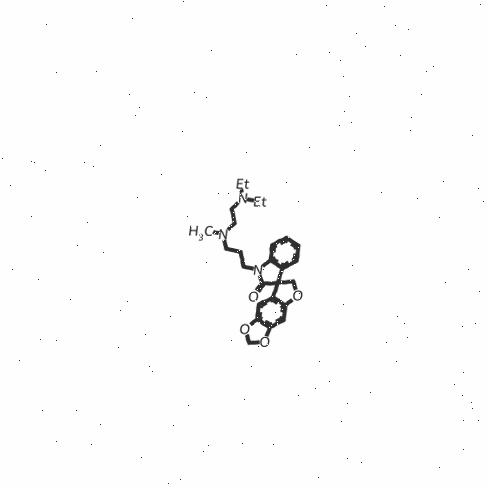 CCN(CC)CCN(C)CCCN1C(=O)C2(COc3cc4c(cc32)OCO4)c2ccccc21